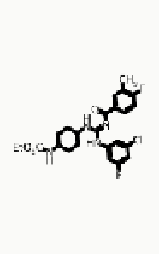 CCOC(=O)NC1CCC(N/C(=N\C(=O)c2ccc(F)c(C)c2)Nc2cc(F)cc(Cl)c2)CC1